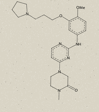 COc1ccc(Nc2nccc(N3CCN(C)C(=O)C3)n2)cc1OCCCN1CCCC1